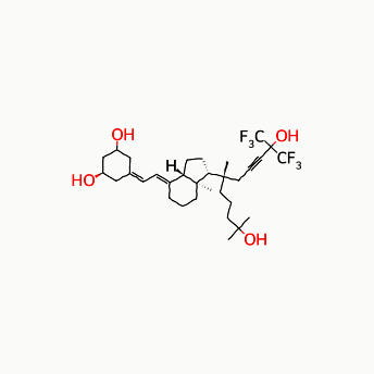 CC(C)(O)CCC[C@@](C)(CC#CC(O)(C(F)(F)F)C(F)(F)F)[C@H]1CC[C@H]2/C(=C/C=C3\CC(O)C[C@H](O)C3)CCC[C@]12C